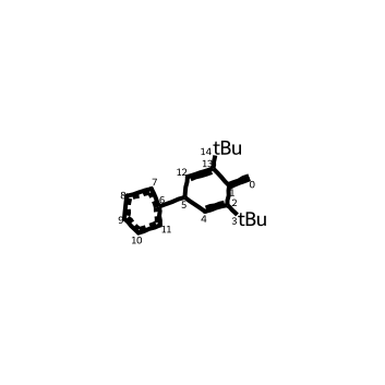 C=C1C(C(C)(C)C)=CC(c2ccccc2)C=C1C(C)(C)C